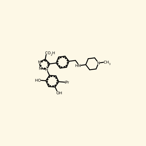 CC(C)c1cc(-n2nnc(C(=O)O)c2-c2ccc(CNC3CCN(C)CC3)cc2)c(O)cc1O